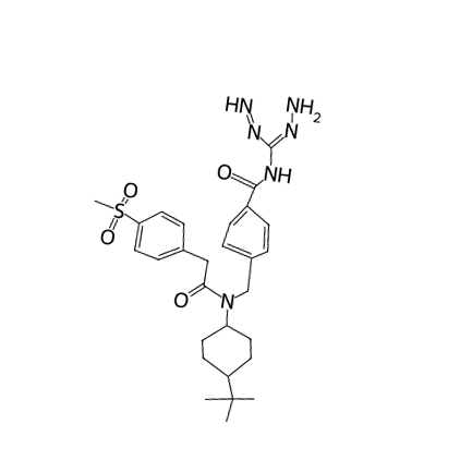 CC(C)(C)C1CCC(N(Cc2ccc(C(=O)N/C(N=N)=N/N)cc2)C(=O)Cc2ccc(S(C)(=O)=O)cc2)CC1